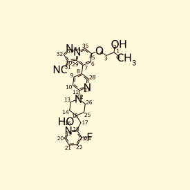 CC(O)COc1cc(-c2ccc(N3CCC(O)(Cc4ncccc4F)CC3)nc2)c2c(C#N)cnn2c1